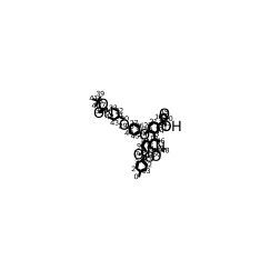 Cc1ccc(S(=O)(=O)n2ccc3c(-c4cc(C5(O)COC5)ccc4Oc4ccc(OCC5CCN(C(=O)OC(C)(C)C)CC5)cc4)cn(C)c(=O)c32)cc1